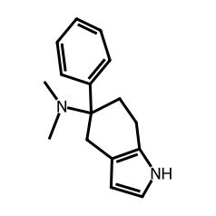 CN(C)C1(c2ccccc2)CCc2[nH]ccc2C1